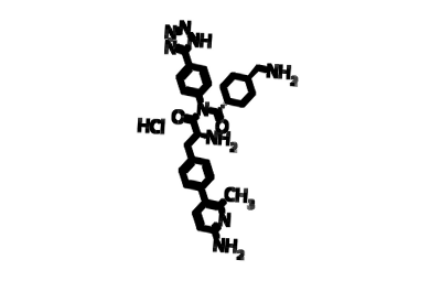 Cc1nc(N)ccc1-c1ccc(C[C@H](N)C(=O)N(c2ccc(-c3nnn[nH]3)cc2)C(=O)[C@H]2CC[C@H](CN)CC2)cc1.Cl